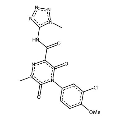 COc1ccc(-n2c(=O)c(C(=O)Nc3nnnn3C)nn(C)c2=O)cc1Cl